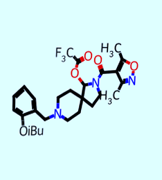 Cc1noc(C)c1C(=O)N1CCC2(CCN(Cc3ccccc3OCC(C)C)CC2)C1OC(=O)C(F)(F)F